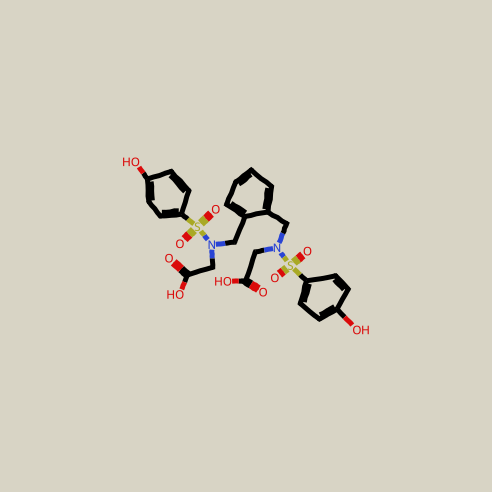 O=C(O)CN(Cc1ccccc1CN(CC(=O)O)S(=O)(=O)c1ccc(O)cc1)S(=O)(=O)c1ccc(O)cc1